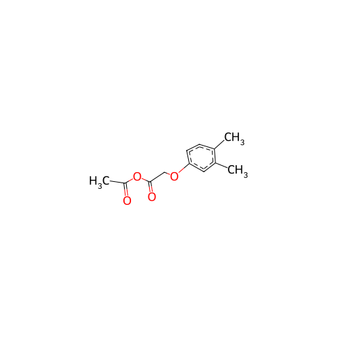 CC(=O)OC(=O)COc1ccc(C)c(C)c1